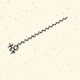 CCCCCCCCCCCCCCCCOCCOCCOCCOCCOC(=O)CC(C(=O)C(F)(F)F)C(=O)C(F)(F)F